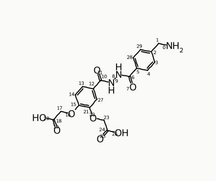 NCc1ccc(C(=O)NNC(=O)c2ccc(OCC(=O)O)c(OCC(=O)O)c2)cc1